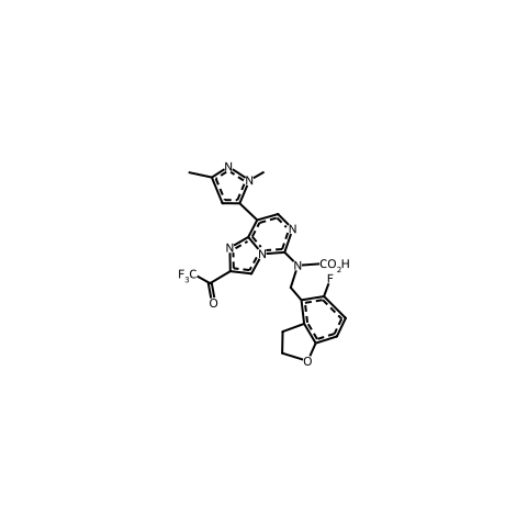 Cc1cc(-c2cnc(N(Cc3c(F)ccc4c3CCO4)C(=O)O)n3cc(C(=O)C(F)(F)F)nc23)n(C)n1